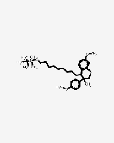 COc1ccc(C2(C)CSc3cc(OC)ccc3C2CCCCCCCCCO[Si](C)(C)C(C)(C)C)cc1